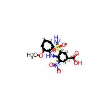 COc1ccccc1Nc1c([N+](=O)[O-])cc(C(=O)O)cc1S(N)(=O)=O